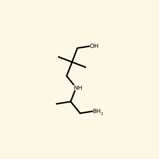 BCC(C)NCC(C)(C)CO